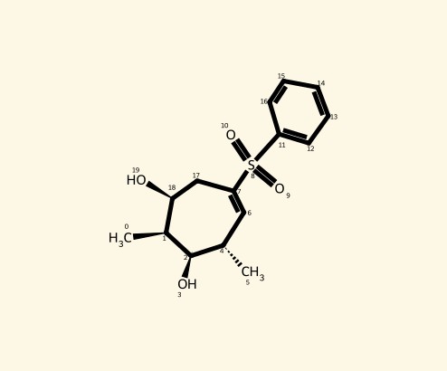 C[C@@H]1[C@H](O)[C@@H](C)C=C(S(=O)(=O)c2ccccc2)C[C@@H]1O